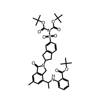 Cc1cc2c(c(C(C)Nc3ccccc3C(=O)OC(C)(C)C)c1)CN(C1Cc3ccc(S(=O)(=O)N(C(=O)OC(C)(C)C)C(=O)OC(C)(C)C)cc3C1)C2=O